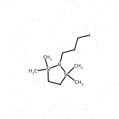 C[Si]1(C)CC[Si](C)(C)N1CCCI